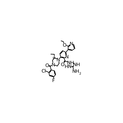 CCOc1ncccc1-c1ccc(N2CCN(C(=O)c3ccc(F)cc3Cl)C[C@H]2CC)c(C(=O)NNC(=N)N)n1